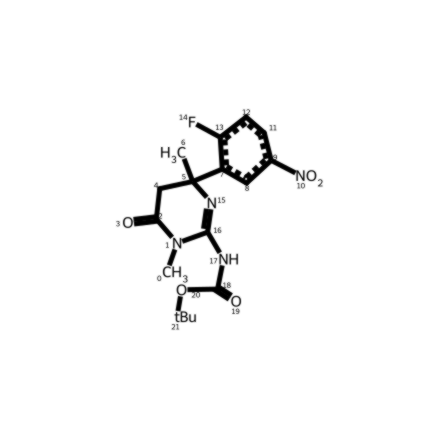 CN1C(=O)CC(C)(c2cc([N+](=O)[O-])ccc2F)N=C1NC(=O)OC(C)(C)C